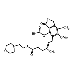 CCC(=S)Oc1c(C/C=C(\C)CCC(=O)OCCN2CCOCC2)c(OC)c(C)c2c1C(=O)OC2